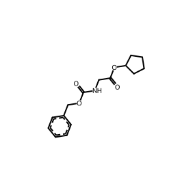 O=C(CNC(=O)OCc1ccccc1)OC1CCCC1